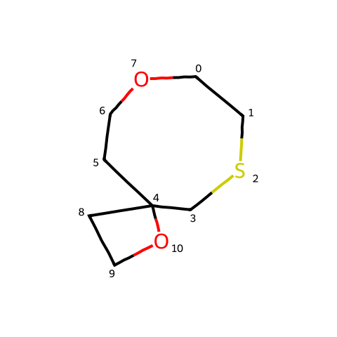 C1CSCC2(CCO1)CCO2